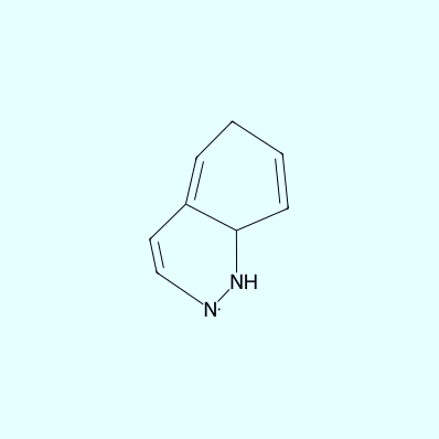 C1=CC2N[N]C=CC2=CC1